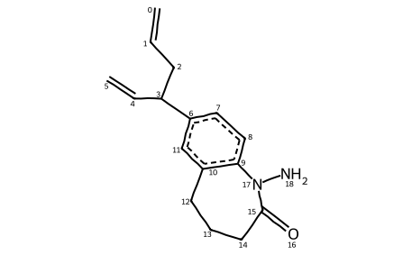 C=CCC(C=C)c1ccc2c(c1)CCCC(=O)N2N